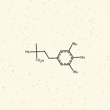 CC(S)(CCc1cc(C(C)(C)C)c(O)c(C(C)(C)C)c1)C(=O)O